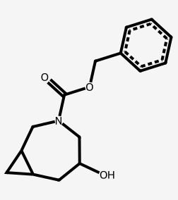 O=C(OCc1ccccc1)N1CC(O)CC2CC2C1